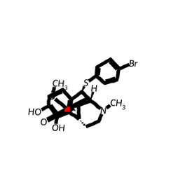 COC1=CC2[C@@H]3[C@H](Sc4ccc(Br)cc4)c4ccc(O)c(O)c4[C@]2(CCN3C)CC1=O